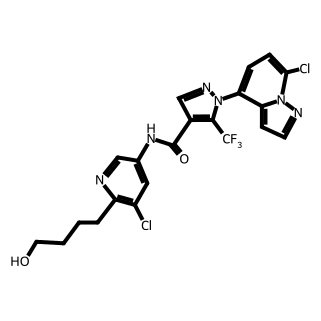 O=C(Nc1cnc(CCCCO)c(Cl)c1)c1cnn(-c2ccc(Cl)n3nccc23)c1C(F)(F)F